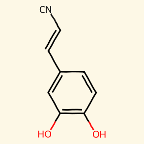 [C-]#[N+]C=Cc1ccc(O)c(O)c1